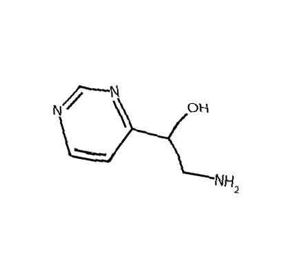 NCC(O)c1ccncn1